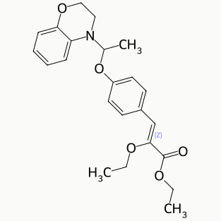 CCOC(=O)/C(=C/c1ccc(OC(C)N2CCOc3ccccc32)cc1)OCC